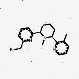 Cc1cccnc1[C@@H]1CCC[C@H](c2cccc(CBr)n2)N1C